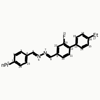 CCCc1ccc(C=NN=Cc2ccc(-c3ccc(CC)cc3)c(F)c2)cc1